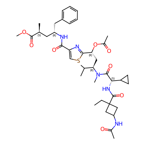 CCC1(C(=O)N[C@H](C(=O)N(C)[C@H](C[C@@H](OC(C)=O)c2nc(C(=O)N[C@@H](Cc3ccccc3)C[C@H](C)C(=O)OC)cs2)C(C)C)C2CC2)CC(NC(C)=O)C1